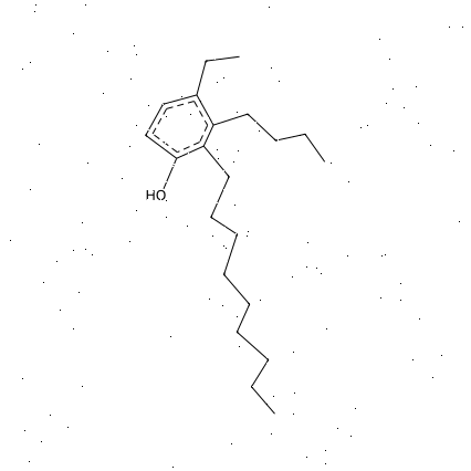 CCCCCCCCCc1c(O)ccc(CC)c1CCCC